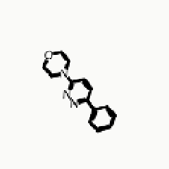 c1ccc(-c2ccc(N3CCOCC3)nn2)cc1